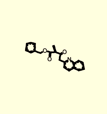 C=C(C(=O)Cc1ccc2ccccc2n1)C(=O)OCc1ccccc1